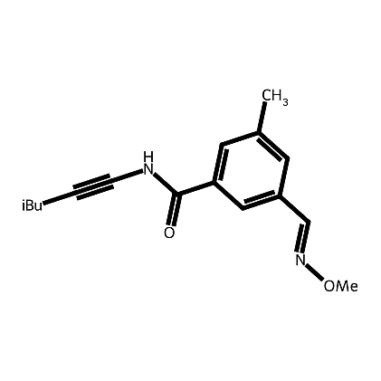 CCC(C)C#CNC(=O)c1cc(C)cc(C=NOC)c1